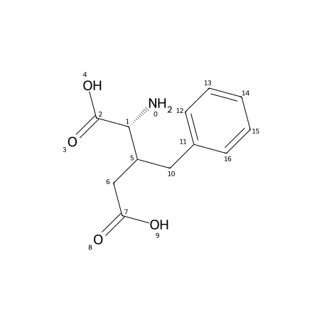 N[C@@H](C(=O)O)C(CC(=O)O)Cc1ccccc1